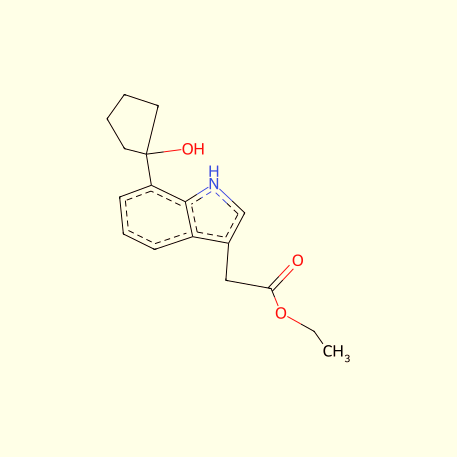 CCOC(=O)Cc1c[nH]c2c(C3(O)CCCC3)cccc12